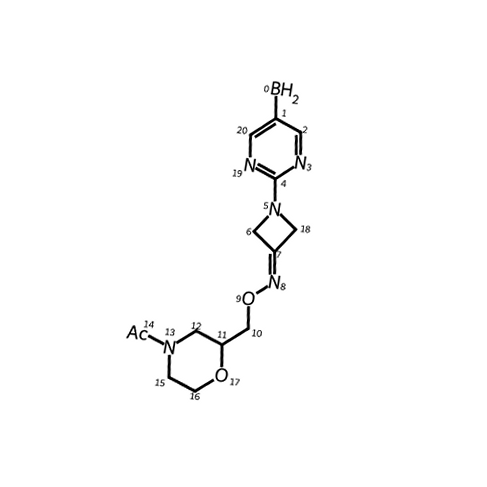 Bc1cnc(N2CC(=NOCC3CN(C(C)=O)CCO3)C2)nc1